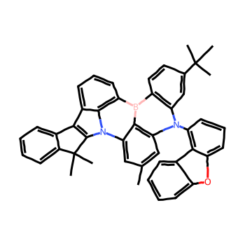 Cc1cc2c3c(c1)-n1c4c(c5cccc(c51)B3c1ccc(C(C)(C)C)cc1N2c1cccc2oc3ccccc3c12)-c1ccccc1C4(C)C